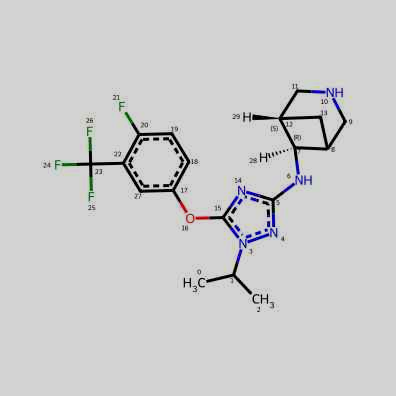 CC(C)n1nc(N[C@@H]2C3CNC[C@@H]2C3)nc1Oc1ccc(F)c(C(F)(F)F)c1